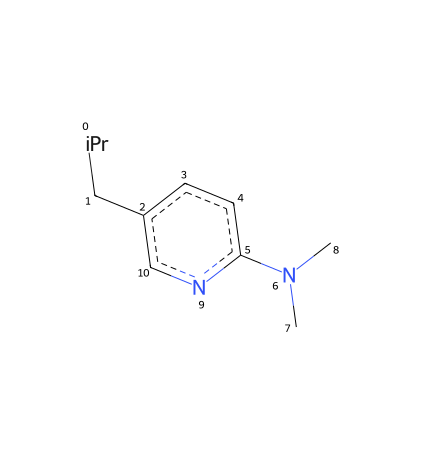 [CH2]C(C)Cc1ccc(N(C)C)nc1